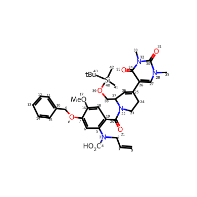 C=CCN(C(=O)O)c1cc(OCc2ccccc2)c(OC)cc1C(=O)N1CCC(c2cn(C)c(=O)n(C)c2=O)=CC1CO[Si](C)(C)C(C)(C)C